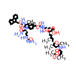 CC(=O)O[C@@H](C)/C=C\C(=O)N[C@@H]1C[C@H](C)[C@H](C/C=C(C)/C=C/[C@H]2O[C@H](CC(=O)NNC(=O)OCc3ccc(N(C(=O)[C@@H](NC(=O)OCC4c5ccccc5-c5ccccc54)C(C)C)[C@@H](CCCNC(N)=O)C(N)=O)cc3)C[C@@]3(CO3)[C@@H]2O)O[C@@H]1C